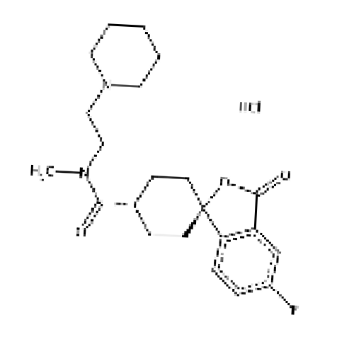 CN(CCN1CCCCC1)C(=O)[C@H]1CC[C@@]2(CC1)OC(=O)c1cc(F)ccc12.Cl